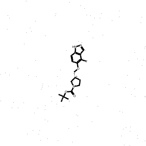 CC(C)(C)OC(=O)N1CC[C@@H](COc2ccc3[nH]ncc3c2F)C1